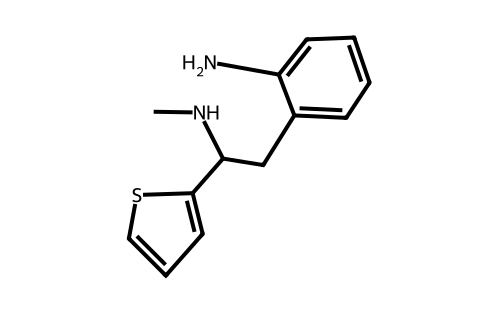 CNC(Cc1ccccc1N)c1cccs1